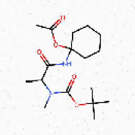 CC(=O)OC1(NC(=O)[C@H](C)N(C)C(=O)OC(C)(C)C)CCCCC1